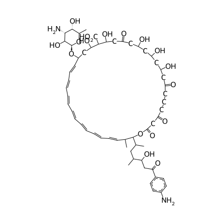 CC1/C=C/C=C/C=C/C=C/C=C/C=C/C=C/C(O[C@@H]2OC(C)[C@@H](O)[C@@H](N)C2O)CC(O)C(C(=O)O)C(O)CC(=O)CC(O)CC(O)CC(O)CC(=O)CCCC(=O)CC(=O)OC1C(C)CC(C)C(O)CC(=O)c1ccc(N)cc1